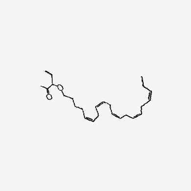 CC/C=C\C/C=C\C/C=C\C/C=C\C/C=C\CCCCO[C@H](CC)C(C)=O